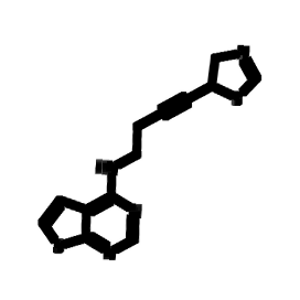 C(#CC1CN=CS1)CCNc1ncnc2sccc12